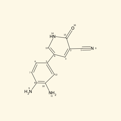 N#Cc1cc(-c2ccc(N)c(N)c2)c[nH]c1=O